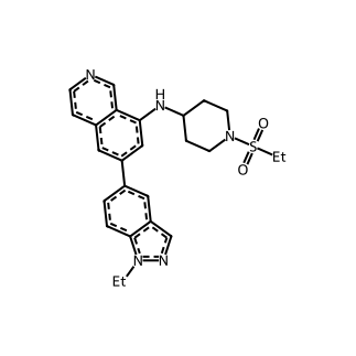 CCn1ncc2cc(-c3cc(NC4CCN(S(=O)(=O)CC)CC4)c4cnccc4c3)ccc21